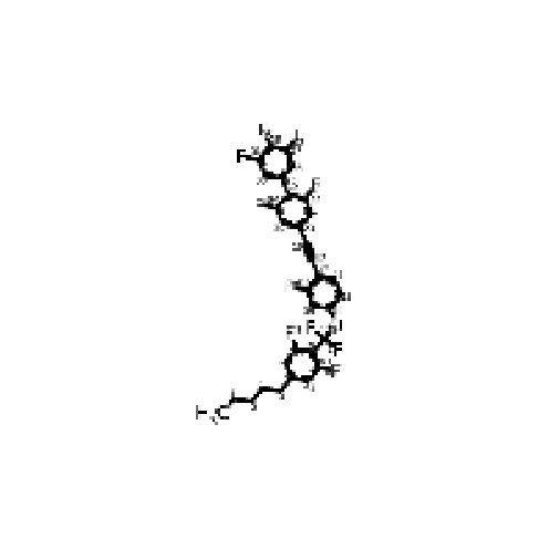 CCCCCc1cc(F)c(C(F)(F)Oc2ccc(C#Cc3cc(F)c(-c4cc(F)c(F)c(F)c4)c(F)c3)c(F)c2)c(F)c1